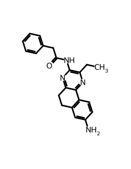 CCc1nc2c(nc1NC(=O)Cc1ccccc1)CCc1cc(N)ccc1-2